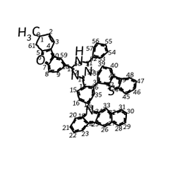 CC1C=Cc2c(oc3ccc(C4=NC(c5ccc(-n6c7ccccc7c7cc8ccccc8cc76)cc5-c5cccc6c5sc5ccccc56)=NC(c5ccccc5)N4)cc23)C1